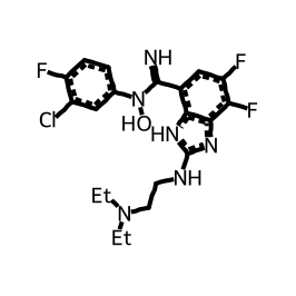 CCN(CC)CCNc1nc2c(F)c(F)cc(C(=N)N(O)c3ccc(F)c(Cl)c3)c2[nH]1